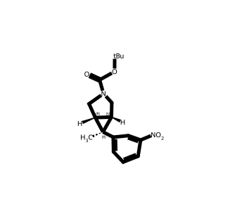 CC(C)(C)OC(=O)N1C[C@@H]2[C@H](C1)[C@@]2(C)c1cccc([N+](=O)[O-])c1